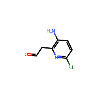 Nc1ccc(Cl)nc1CC=O